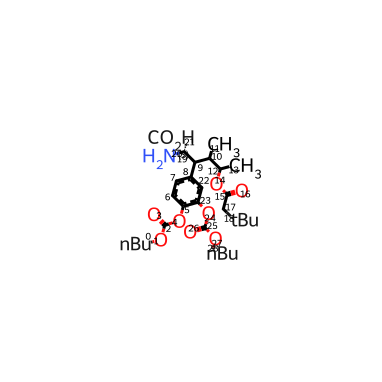 CCCCOC(=O)Oc1ccc(C(C(C)C(C)OC(=O)CC(C)(C)C)[C@H](N)C(=O)O)cc1OC(=O)OCCCC